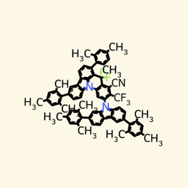 Cc1cc(C)c(-c2ccc3c(c2)c2ccc(-c4c(C)cc(C)cc4C)cc2n3-c2cc3c(c(C#N)c2C(F)(F)F)C(F)(F)c2c(-c4c(C)cc(C)cc4C)ccc4c5cc(-c6c(C)cc(C)cc6C)ccc5n-3c24)c(C)c1